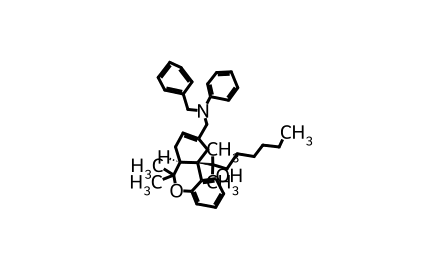 CCCCCCC(C)(C)[C@]12CC(CN(Cc3ccccc3)c3ccccc3)=CC[C@@H]1C(C)(C)Oc1cccc(O)c12